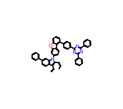 C=Cc1c(/C=C\C)n(-c2ccc3c(c2)oc2cccc(-c4ccc(-c5nc(-c6ccccc6)nc(-c6ccccc6)n5)cc4)c23)c2cc(-c3ccccc3)ccc12